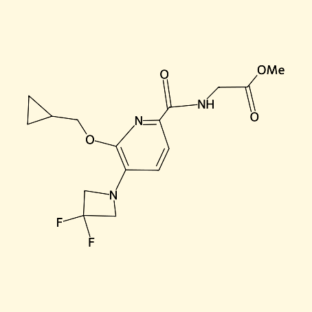 COC(=O)CNC(=O)c1ccc(N2CC(F)(F)C2)c(OCC2CC2)n1